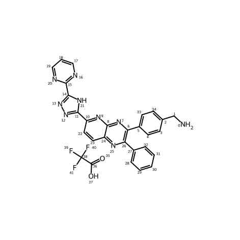 NCc1ccc(-c2nc3nc(-c4nnc(-c5ncccn5)[nH]4)ccc3nc2-c2ccccc2)cc1.O=C(O)C(F)(F)F